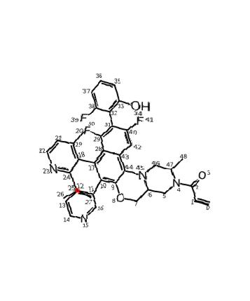 C=CC(=O)N1CC2COc3c(-c4cccnc4)c(-c4c(C)ccnc4C(C)C)c4c(F)c(-c5c(O)cccc5F)c(F)cc4c3N2CC1C